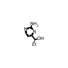 CC[C@H](O)c1ccnc(N)n1